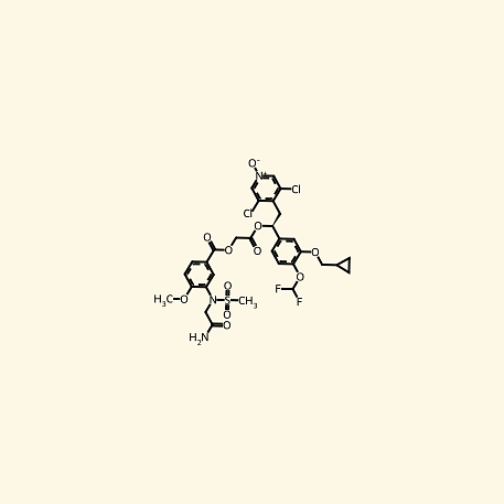 COc1ccc(C(=O)OCC(=O)O[C@@H](Cc2c(Cl)c[n+]([O-])cc2Cl)c2ccc(OC(F)F)c(OCC3CC3)c2)cc1N(CC(N)=O)S(C)(=O)=O